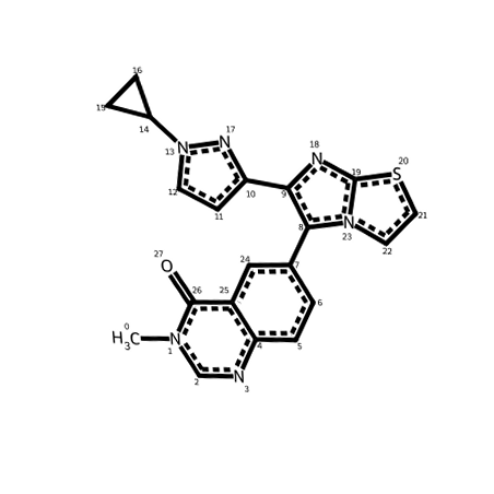 Cn1cnc2ccc(-c3c(-c4ccn(C5CC5)n4)nc4sccn34)cc2c1=O